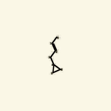 C/C=C/CC1CC1